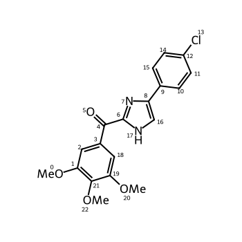 COc1cc(C(=O)c2nc(-c3ccc(Cl)cc3)c[nH]2)cc(OC)c1OC